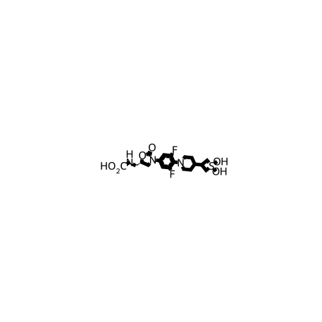 O=C(O)NC[C@H]1CN(c2cc(F)c(N3CCC(C4CS(O)(O)C4)CC3)c(F)c2)C(=O)O1